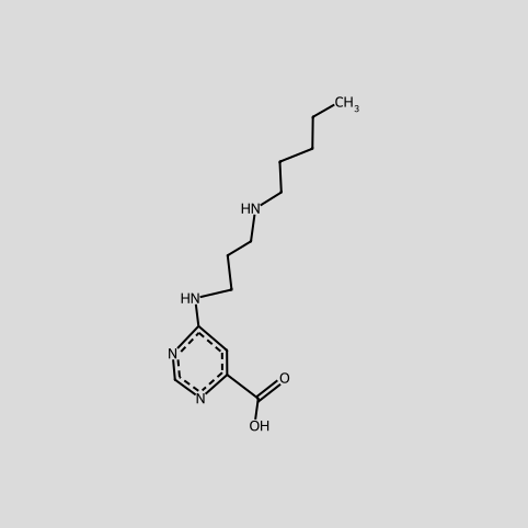 CCCCCNCCCNc1cc(C(=O)O)ncn1